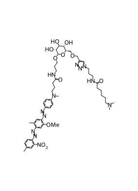 COc1cc(/N=N/c2ccc(C)cc2[N+](=O)[O-])c(C)cc1/N=N/c1ccc(N(C)CCCC(=O)NCCCO[C@@H]2O[C@H](COCc3cn(CCCNC(=O)CCCCCN(C)C)nn3)[C@@H](O)[C@H](O)[C@H]2O)cc1